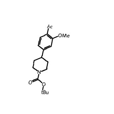 COc1cc(C2CCN(C(=O)OC(C)(C)C)CC2)ccc1C(C)=O